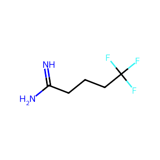 N=C(N)CCCC(F)(F)F